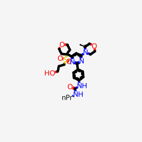 CCCNC(=O)Nc1ccc(-c2nc(N3CCOC[C@@H]3C)cc(C3(S(=O)(=O)CCCO)CCOCC3)n2)cc1